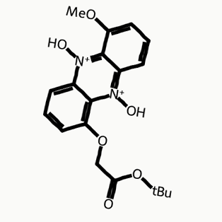 COc1cccc2c1[n+](O)c1cccc(OCC(=O)OC(C)(C)C)c1[n+]2O